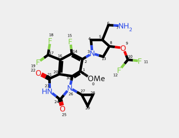 COc1c(N2CC(CN)C(OC(F)F)C2)c(F)c(C(F)F)c2c(=O)[nH]c(=O)n(C3CC3)c12